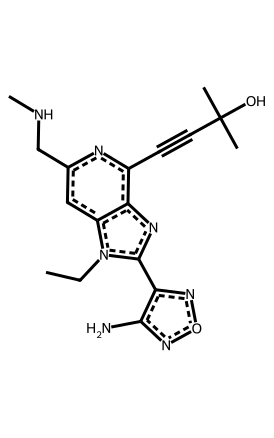 CCn1c(-c2nonc2N)nc2c(C#CC(C)(C)O)nc(CNC)cc21